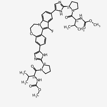 COC(=O)N[C@H](C(=O)N1CCC[C@@H]1c1ncc(-c2ccc3c(c2)OCCn2c-3c(F)c3cc(-c4cnc([C@H]5CCCN5C(=O)[C@@H](NC(=O)OC)C(C)C)[nH]4)ccc32)[nH]1)C(C)C